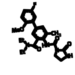 CCN(CC)C(=O)c1cc(-c2cc(F)ccc2OC)cc(C)c1NC(=O)N1CCNC1=O